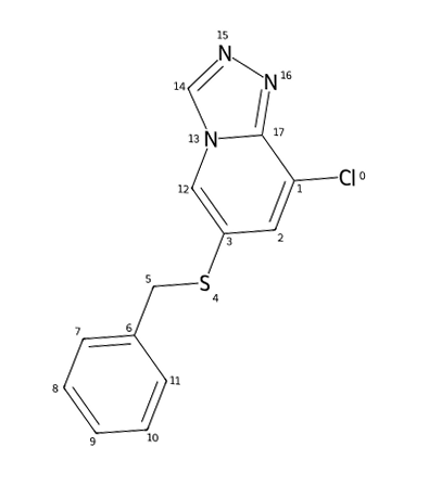 Clc1cc(SCc2ccccc2)cn2cnnc12